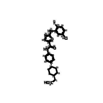 O=C(O)C[C@H]1CC[C@H](c2ccc(NC(=O)c3nnc(Nc4cc(Cl)ccc4F)o3)cc2)CC1